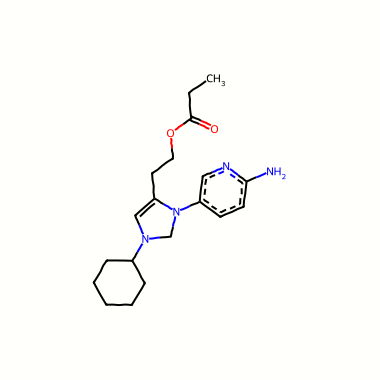 CCC(=O)OCCC1=CN(C2CCCCC2)CN1c1ccc(N)nc1